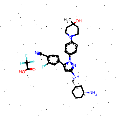 CC1(O)CCN(c2ccc(-n3nc(NC[C@H]4CCC[C@H](N)C4)cc3-c3ccc(C#N)c(F)c3)cc2)CC1.O=C(O)C(F)(F)F